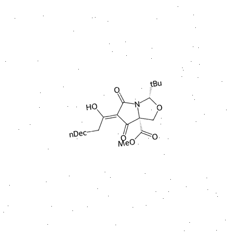 CCCCCCCCCCC/C(O)=C1/C(=O)N2[C@H](C(C)(C)C)OC[C@@]2(C(=O)OC)C1=O